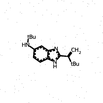 C=C(c1nc2cc(NC(C)(C)C)ccc2[nH]1)C(C)(C)C